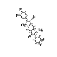 N#Cc1c(-c2ccc(F)c(F)c2)c(=O)c2cc3c(=O)c(-c4ccc(F)c(F)c4)c(C#N)c3cc12